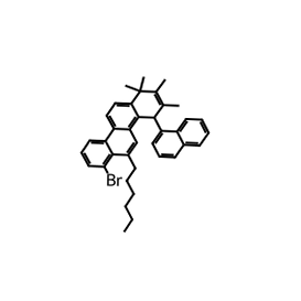 CCCCCCc1cc2c3c(ccc2c2cccc(Br)c12)C(C)(C)C(C)=C(C)C3c1cccc2ccccc12